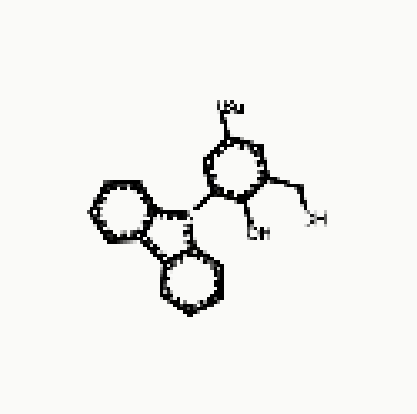 CC(C)(C)c1cc(CO)c(O)c(-n2c3ccccc3c3ccccc32)c1